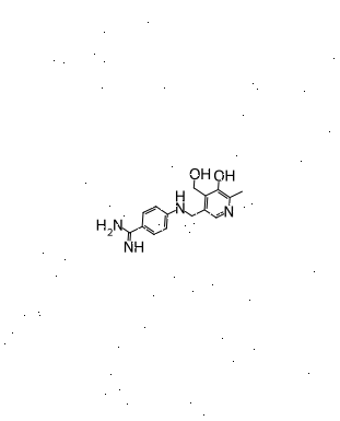 Cc1ncc(CNc2ccc(C(=N)N)cc2)c(CO)c1O